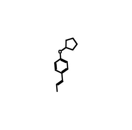 CC=Cc1ccc(OC2CCCC2)cc1